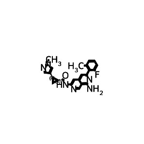 Cc1cccc(F)c1-c1cc2cc(NC(=O)[C@@H]3C[C@H]3c3cnn(C)c3)ncc2c(N)n1